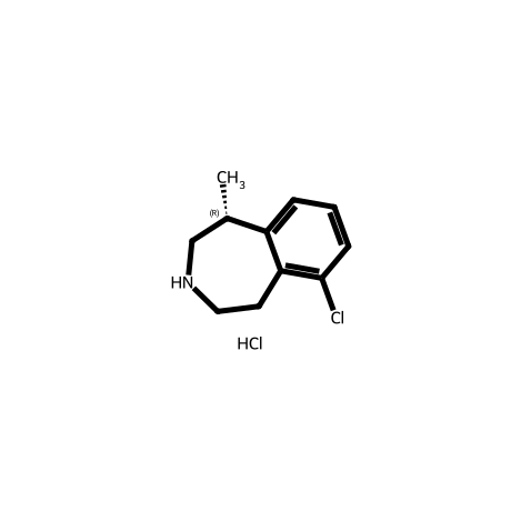 C[C@H]1CNCCc2c(Cl)cccc21.Cl